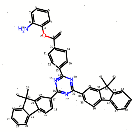 C=C(Oc1ccccc1N)c1ccc(-c2nc(-c3ccc4c(c3)C(C)(C)c3ccccc3-4)nc(-c3ccc4c(c3)C(C)(C)c3ccccc3-4)n2)cc1